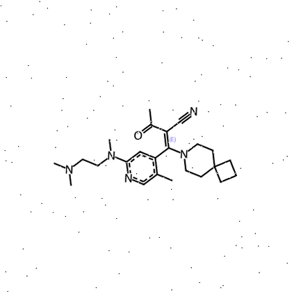 CC(=O)/C(C#N)=C(\c1cc(N(C)CCN(C)C)ncc1C)N1CCC2(CCC2)CC1